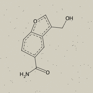 NC(=O)c1ccc2occ(CO)c2c1